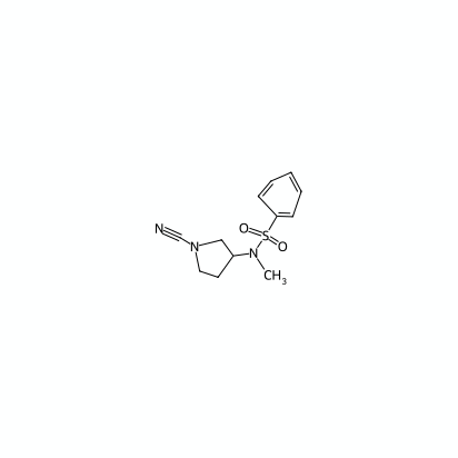 CN(C1CCN(C#N)C1)S(=O)(=O)c1ccccc1